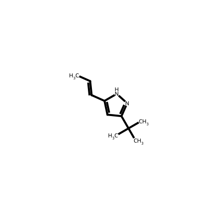 C/C=C/c1cc(C(C)(C)C)n[nH]1